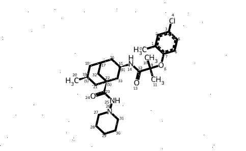 Cc1cc(Cl)ccc1OC(C)(C)C(=O)N[C@@H]1CC2C[C@H](C)C[C@](C(=O)NN3CCCCC3)(C2)C1